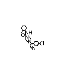 CC1CCCCC1NC(=O)N1CCN(c2ccnc3cc(Cl)ccc23)CC1